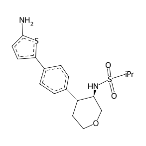 CC(C)S(=O)(=O)N[C@H]1COCC[C@@H]1c1ccc(-c2ccc(N)s2)cc1